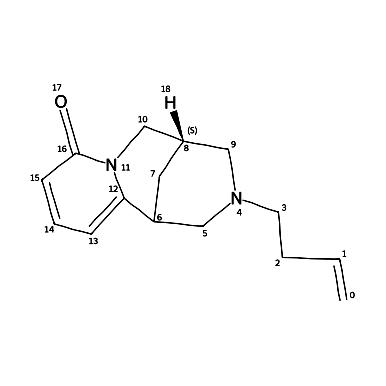 C=CCCN1CC2C[C@@H](C1)Cn1c2cccc1=O